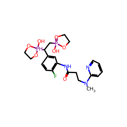 CN(CCC(=O)Nc1cc(C(C[PH]2(O)OCCO2)[PH]2(O)OCCO2)ccc1F)c1ccccn1